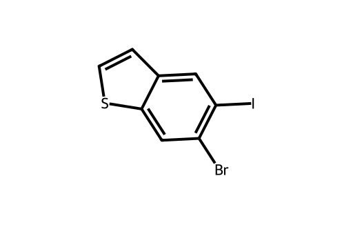 Brc1cc2sccc2cc1I